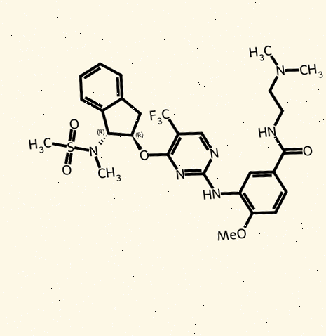 COc1ccc(C(=O)NCCN(C)C)cc1Nc1ncc(C(F)(F)F)c(O[C@@H]2Cc3ccccc3[C@H]2N(C)S(C)(=O)=O)n1